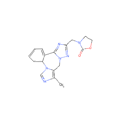 Cc1ncn2c1Cn1nc(CN3CCOC3=O)nc1-c1ccccc1-2